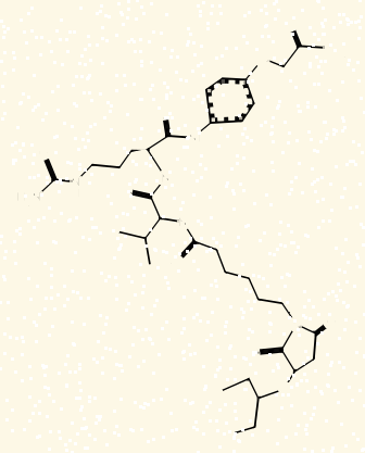 BC(=O)COc1ccc(NC(=O)[C@H](CCCNC(N)=O)NC(=O)C(NC(=O)CCCCCN2C(=O)CC(SC(CC)CC)C2=O)C(C)C)cc1